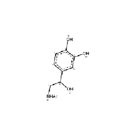 CC(=O)NCC(O)c1ccc(O)c(O)c1